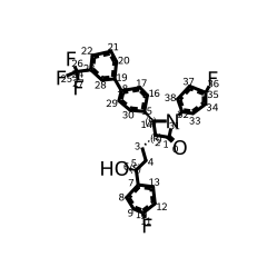 O=C1[C@H](CC[C@H](O)c2ccc(F)cc2)[C@@H](c2ccc(-c3cccc(C(F)(F)F)c3)cc2)N1c1ccc(F)cc1